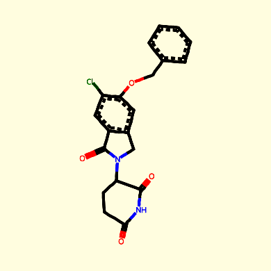 O=C1CCC(N2Cc3cc(OCc4ccccc4)c(Cl)cc3C2=O)C(=O)N1